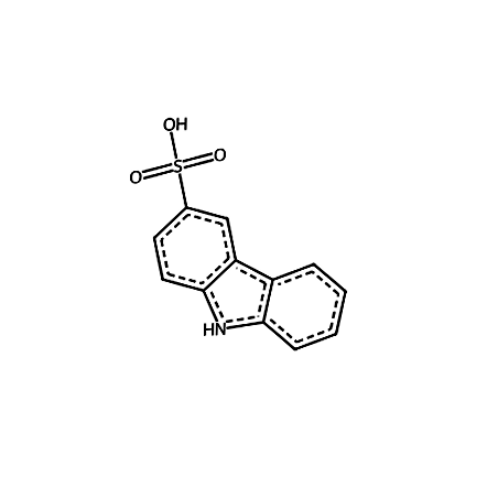 O=S(=O)(O)c1ccc2[nH]c3ccccc3c2c1